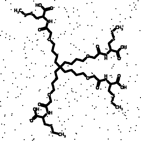 CCSCC(NC(=O)COCCCCC(CCCCOCC(=O)NC(CSSC)C(=O)O)(CCCCOCC(=O)NC(CSSC)C(=O)O)CCCCOCC(=O)NC(CSSC)C(=O)O)C(=O)O